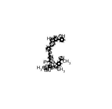 Cc1ncsc1-c1ccc([C@H](C)NC(=O)[C@H]2C[C@@H](O[Si](C)(C)C(C)(C)C)CN2C(=O)C(c2cc(COc3cc(N4CCN5c6cc(-c7ccccc7O)nnc6NCC5C4)ccn3)no2)C(C)C)cc1